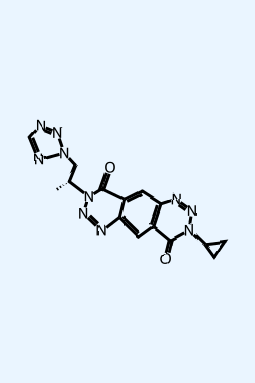 C[C@H](Cn1ncnn1)n1nnc2cc3c(=O)n(C4CC4)nnc3cc2c1=O